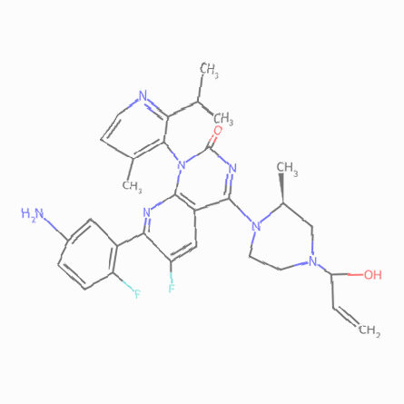 C=CC(O)N1CCN(c2nc(=O)n(-c3c(C)ccnc3C(C)C)c3nc(-c4cc(N)ccc4F)c(F)cc23)[C@@H](C)C1